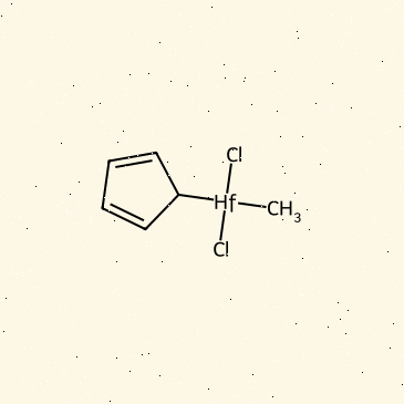 [CH3][Hf]([Cl])([Cl])[CH]1C=CC=C1